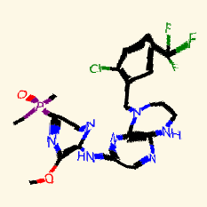 COc1nc(P(C)(C)=O)cnc1Nc1cnc2c(n1)N(Cc1cc(C(F)(F)F)ccc1Cl)CCN2